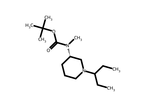 CCC(CC)N1CCC[C@H](N(C)C(=O)OC(C)(C)C)C1